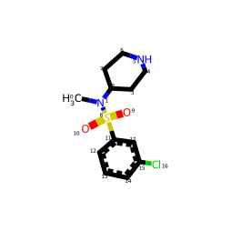 CN(C1CCNCC1)S(=O)(=O)c1cccc(Cl)c1